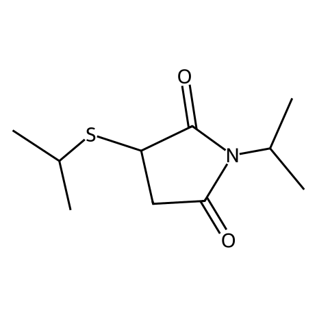 CC(C)SC1CC(=O)N(C(C)C)C1=O